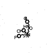 COc1ccc(CNC(=O)CCc2nnc(SCc3ccc(F)cc3)n2-c2cccc(Cl)c2)cc1